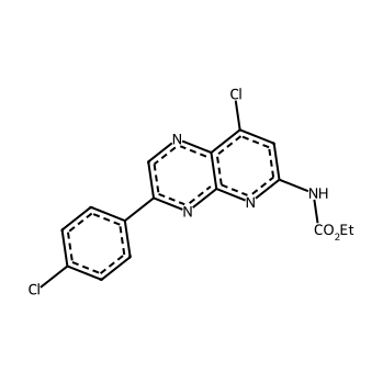 CCOC(=O)Nc1cc(Cl)c2ncc(-c3ccc(Cl)cc3)nc2n1